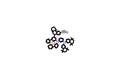 CC(C)(C)c1cc2c3c(c1)C1(C)CCCCC1(C)CC3c1cc(-c3ccccc3)cc3c1B2c1ccc(N(c2ccc4c(c2)C(C)(C)CCC4(C)C)c2ccc4c(c2)C(C)(C)CCC4(C)C)cc1N3c1cccc2c1oc1ccccc12